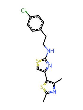 Cc1nc(C)c(-c2csc(NCCc3ccc(Cl)cc3)n2)s1